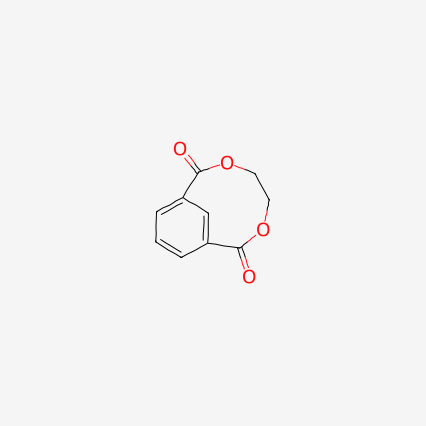 O=C1OCCOC(=O)c2cccc1c2